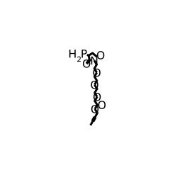 CC#CCOC(=O)COCCOCCOCCN1C(=O)CC(P)C1=O